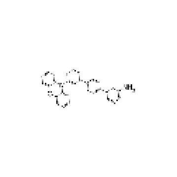 NC1=CN=C=C(c2ccc(C3=CCCC(N4c5ccccc5Oc5ccccc54)=C3)cc2)C1